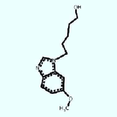 COc1ccc2ncn(CCCCCO)c2c1